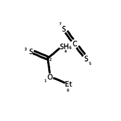 CCOC(=S)S.S=C=S